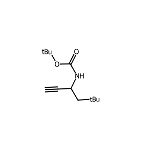 C#CC(CC(C)(C)C)NC(=O)OC(C)(C)C